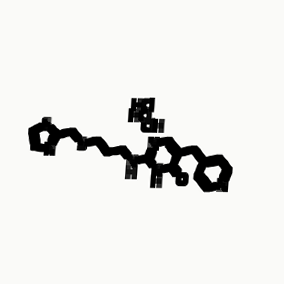 Cl.Cl.Cl.O=c1[nH]c(NCCCSCc2nccs2)ncc1Cc1ccncc1